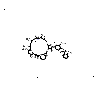 CCC1/C=C(\C)CC(C)CC(OC)C2OC(O)(C(=O)C(=O)N3CCCCC3C(=O)OC(C(C)=CC3CCC(OS(=O)(=O)c4ccccc4[N+](=O)[O-])C(OC)C3)C(C)CCC1=O)C(C)CC2OC